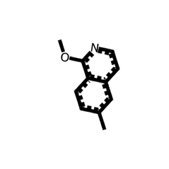 COc1nccc2cc(C)ccc12